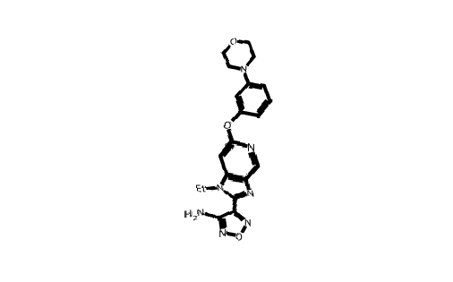 CCn1c(-c2nonc2N)nc2cnc(Oc3cccc(N4CCOCC4)c3)cc21